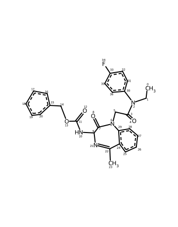 CCN(C(=O)CN1C(=O)C(NC(=O)OCc2ccccc2)N=C(C)c2ccccc21)c1ccc(F)cc1